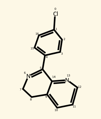 Clc1ccc(C2=NCCc3cccnc32)cc1